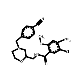 COc1cc(N)c(Cl)cc1C(=O)NCC1CN(Cc2ccc(C#N)cc2)CCO1